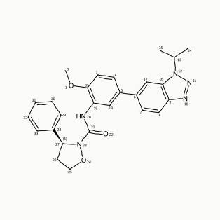 COc1ccc(-c2ccc3nnn(C(C)C)c3c2)cc1NC(=O)N1OCC[C@H]1c1ccccc1